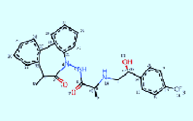 CC1C(=O)N(NC(=O)[C@H](C)NC[C@@H](O)c2ccc(C(F)(F)F)cc2)c2ccccc2-c2ccccc21